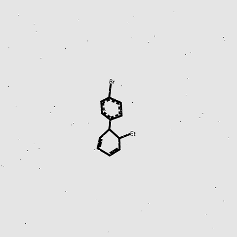 CCC1C=CC=CC1c1ccc(Br)cc1